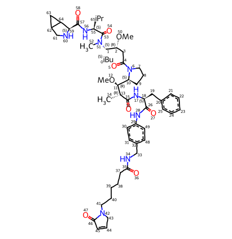 CC[C@H](C)[C@@H]([C@@H](CC(=O)N1CCC[C@H]1[C@H](OC)[C@@H](C)C(=O)N[C@@H](Cc1ccccc1)C(=O)Nc1ccc(CNC(=O)CCCCCN2CC=CC2=O)cc1)OC)N(C)C(=O)[C@@H](NC(=O)[C@H]1NCC2CC21)C(C)C